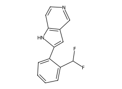 FC(F)c1ccccc1-c1cc2cnccc2[nH]1